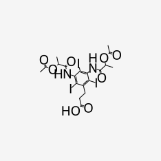 CC(=O)OC(C)C(=O)Nc1c(I)c(CCC(=O)O)c(I)c(NC(=O)C(C)OC(C)=O)c1I